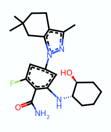 Cc1nn(-c2cc(F)c(C(N)=O)c(N[C@H]3CCCC[C@@H]3O)c2)c2c1CCC(C)(C)C2